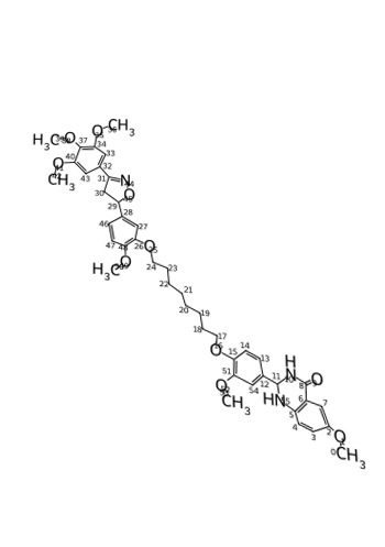 COc1ccc2c(c1)C(=O)NC(c1ccc(OCCCCCCCCOc3cc(C4CC(c5cc(OC)c(OC)c(OC)c5)=NO4)ccc3OC)c(OC)c1)N2